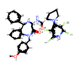 COc1ccc(CN2C(=O)[C@@H](NC(=O)[C@@H]3CCCN3c3c(F)c(F)nc(F)c3F)N=C(c3ccccc3)c3ccccc32)cc1